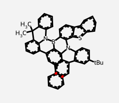 CC(C)(C)c1ccc(N2c3cc(-c4ccccc4)cc4c3B(c3ccc5c(sc6ccccc65)c32)N2c3ccccc3C(C)(C)c3cccc-4c32)c(-c2ccccc2)c1